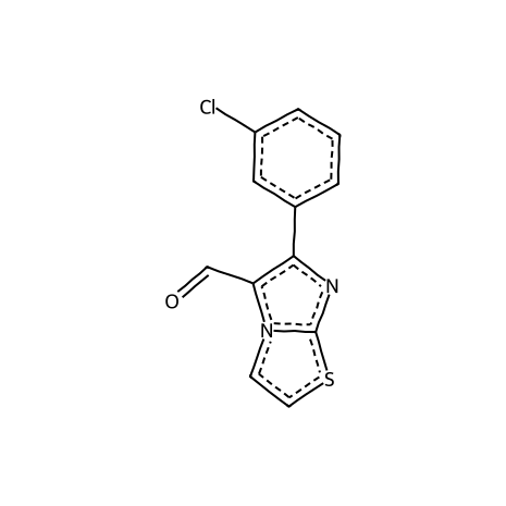 O=Cc1c(-c2cccc(Cl)c2)nc2sccn12